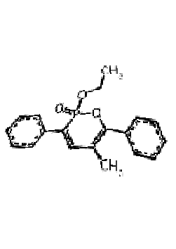 CCOP1(=O)OC(c2ccccc2)=C(C)C=C1c1ccccc1